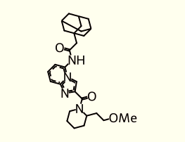 COCCC1CCCCN1C(=O)c1cn2c(NC(=O)CC34CC5CC(CC(C5)C3)C4)cccc2n1